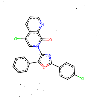 O=c1c2ncccc2c(Cl)cn1-c1nc(-c2ccc(Cl)cc2)oc1-c1ccccc1